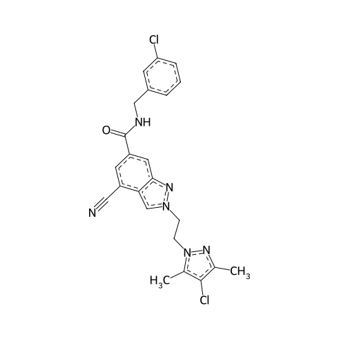 Cc1nn(CCn2cc3c(C#N)cc(C(=O)NCc4cccc(Cl)c4)cc3n2)c(C)c1Cl